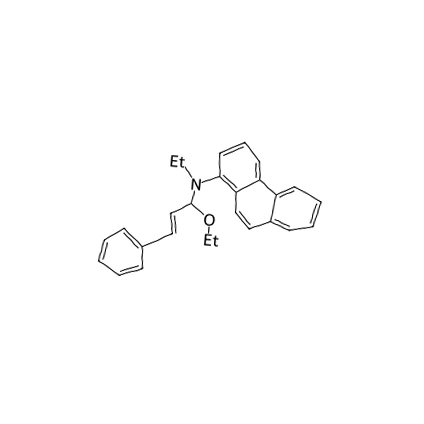 CCOC(C=Cc1ccccc1)N(CC)c1cccc2c1ccc1ccccc12